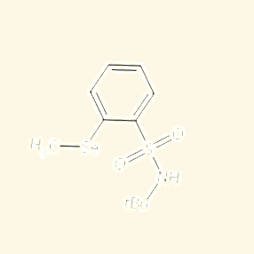 C[Se]c1ccccc1S(=O)(=O)NC(C)(C)C